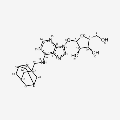 OC[C@H]1O[C@H](On2cnc3c(NCC45CC6CC(CC(C6)C4)C5)ncnc32)[C@H](O)[C@@H]1O